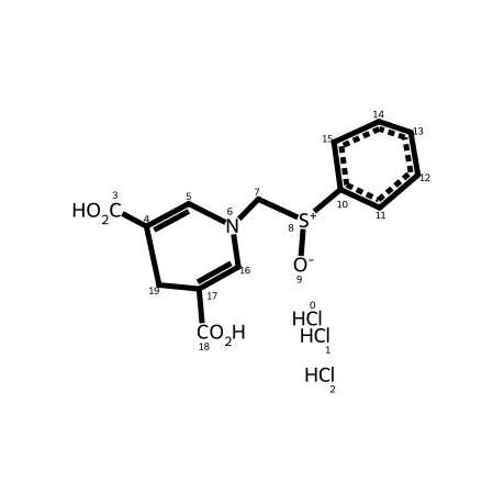 Cl.Cl.Cl.O=C(O)C1=CN(C[S+]([O-])c2ccccc2)C=C(C(=O)O)C1